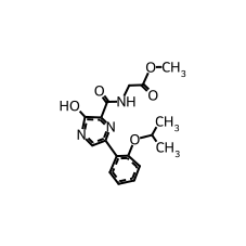 COC(=O)CNC(=O)c1nc(-c2ccccc2OC(C)C)cnc1O